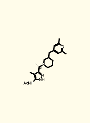 CC(=O)Nc1[nH]nc([C@H](C)N2CCCC(Cc3cc(C)nc(C)c3)C2)c1C